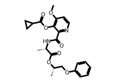 COc1ccnc(C(=O)N[C@@H](C)C(=O)O[C@@H](C)COc2ccccc2)c1OC(=O)C1CC1